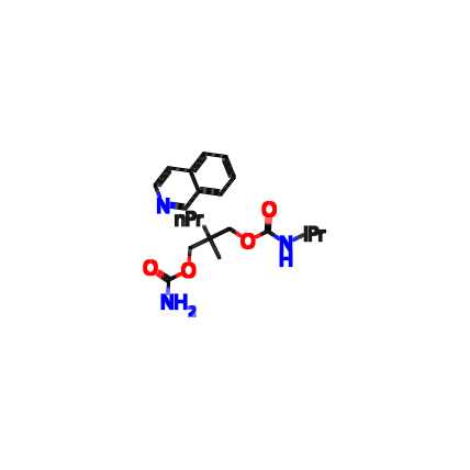 CCCC(C)(COC(N)=O)COC(=O)NC(C)C.c1ccc2cnccc2c1